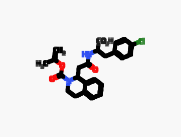 C=C(C)OC(=O)N1CCc2ccccc2C1CC(=O)NC(Cc1ccc(Cl)cc1)C(=O)O